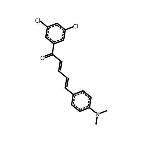 CN(C)c1ccc(/C=C/C=C/C(=O)c2cc(Cl)cc(Cl)c2)cc1